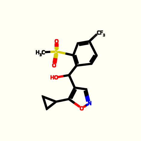 CS(=O)(=O)c1cc(C(F)(F)F)ccc1C(O)c1cnoc1C1CC1